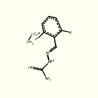 CC(=O)O.N=C(N)N/N=C/c1c(F)cccc1F